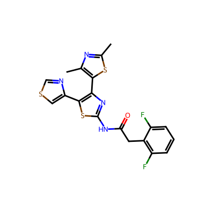 Cc1nc(C)c(-c2nc(NC(=O)Cc3c(F)cccc3F)sc2-c2cscn2)s1